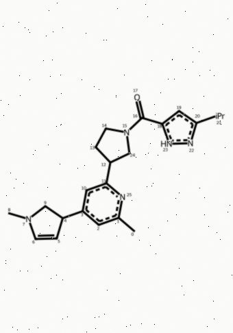 Cc1cc(C2C=CN(C)C2)cc(C2CCN(C(=O)c3cc(C(C)C)n[nH]3)C2)n1